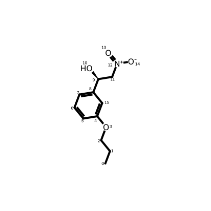 CCCOc1cccc([C@@H](O)C[N+](=O)[O-])c1